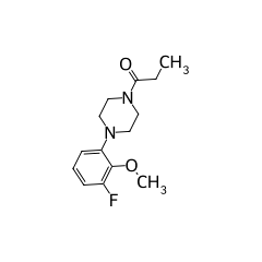 CCC(=O)N1CCN(c2cccc(F)c2OC)CC1